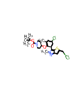 Cc1cc(Cl)cc(-c2c3sc(CCl)cc3nn2C)c1OC1CCN(C(=O)OC(C)(C)C)CC1